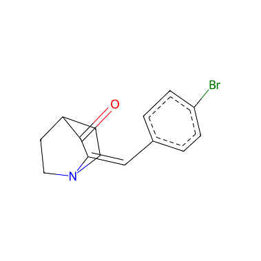 O=C1/C(=C\c2ccc(Br)cc2)N2CCC1CC2